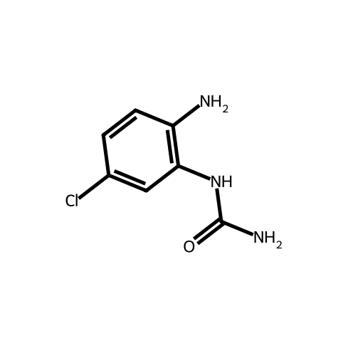 NC(=O)Nc1cc(Cl)ccc1N